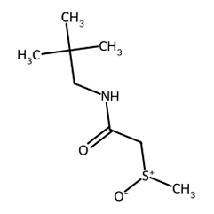 C[S+]([O-])CC(=O)NCC(C)(C)C